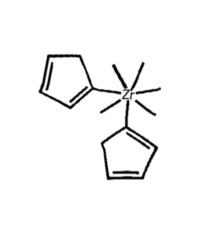 [CH3][Zr]([CH3])([CH3])([CH3])([CH3])([C]1=CC=CC1)[C]1=CC=CC1